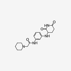 O=C1CCC(Nc2cccc(NC(=O)CN3CCCCC3)c2)C(=O)N1